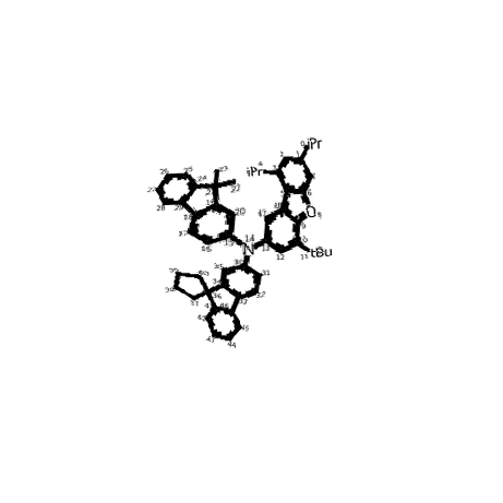 CC(C)c1cc(C(C)C)c2c(c1)oc1c(C(C)(C)C)cc(N(c3ccc4c(c3)C(C)(C)c3ccccc3-4)c3ccc4c(c3)C3(CCCC3)c3ccccc3-4)cc12